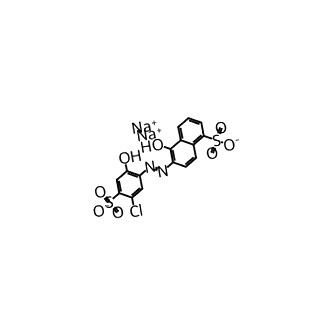 O=S(=O)([O-])c1cc(O)c(N=Nc2ccc3c(S(=O)(=O)[O-])cccc3c2O)cc1Cl.[Na+].[Na+]